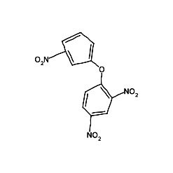 O=[N+]([O-])c1cccc(Oc2ccc([N+](=O)[O-])cc2[N+](=O)[O-])c1